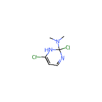 CN(C)C1(Cl)N=CC=C(Cl)N1